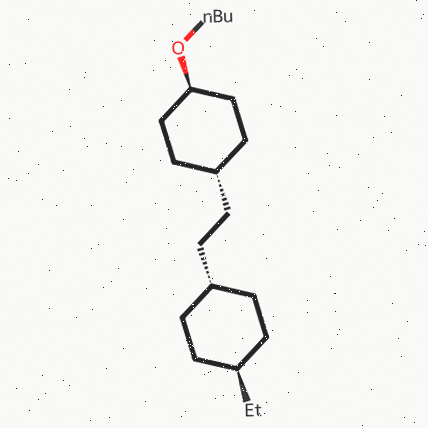 CCCCO[C@H]1CC[C@H](CC[C@H]2CC[C@H](CC)CC2)CC1